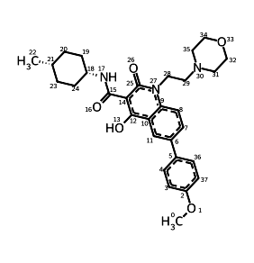 COc1ccc(-c2ccc3c(c2)c(O)c(C(=O)N[C@H]2CC[C@@H](C)CC2)c(=O)n3CCN2CCOCC2)cc1